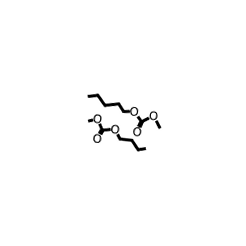 CCCCCOC(=O)OC.CCCCOC(=O)OC